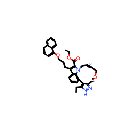 CCOC(=O)c1c(CCCOc2cccc3ccccc23)c2cccc3c2n1C/C=C\COCc1n[nH]c(CC)c1-3